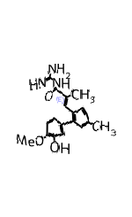 COc1ccc(-c2cc(C)ccc2/C=C(\C)C(=O)NC(=N)N)cc1O